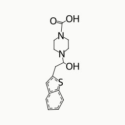 O=C(O)N1CCN(C(O)Cc2cc3ccccc3s2)CC1